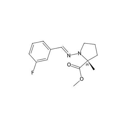 COC(=O)[C@@]1(C)CCCN1N=Cc1cccc(F)c1